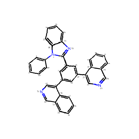 c1ccc(-n2c(-c3cc(-c4cncc5ccccc45)cc(-c4cncc5ccccc45)c3)nc3ccccc32)cc1